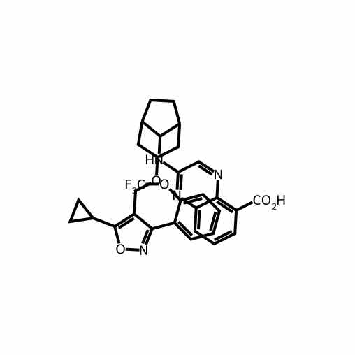 O=C(O)c1cccc2nc(NC3C4CCC3CC(OCc3c(-c5ccccc5OC(F)(F)F)noc3C3CC3)C4)cnc12